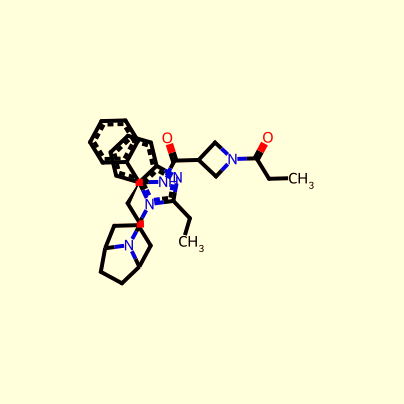 CCC(=O)N1CC(C(=O)N[C@@H](CCN2C3CCC2CC(n2c(CC)nc4ccccc42)C3)c2ccccc2)C1